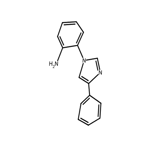 Nc1ccccc1-n1cnc(-c2ccccc2)c1